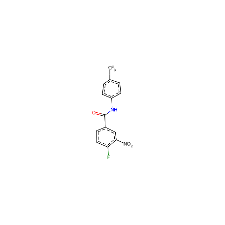 O=C(Nc1ccc(C(F)(F)F)cc1)c1ccc(F)c([N+](=O)[O-])c1